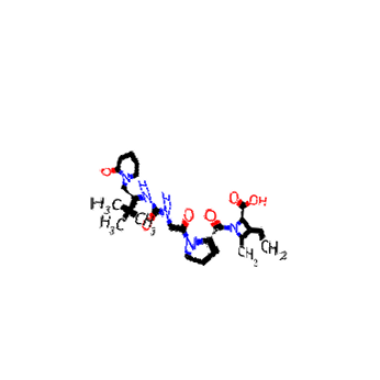 C=CC1C(C)N(C(=O)[C@@H]2CCCN2C(=O)CNC(=O)N[C@H](CN2CCCCC2=O)C(C)(C)C)[C@H]1C(=O)O